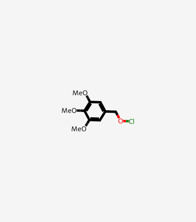 COc1cc(COCl)cc(OC)c1OC